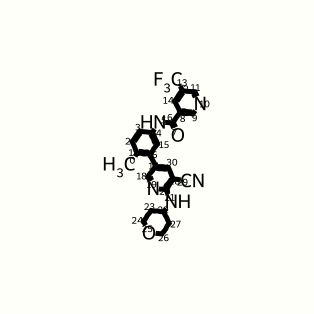 Cc1ccc(NC(=O)c2cncc(C(F)(F)F)c2)cc1-c1cnc(NC2CCOCC2)c(C#N)c1